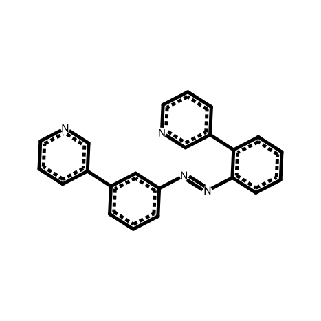 c1cncc(-c2cccc(N=Nc3ccccc3-c3cccnc3)c2)c1